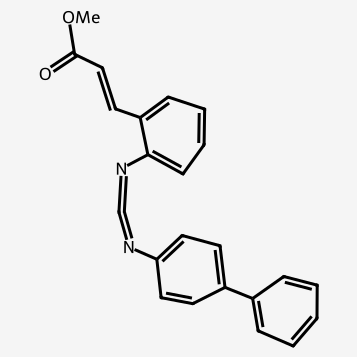 COC(=O)C=Cc1ccccc1N=C=Nc1ccc(-c2ccccc2)cc1